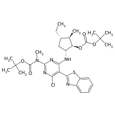 CC[C@H]1C[C@@H](Nc2nc(N(C)C(=O)OC(C)(C)C)nc(Cl)c2-c2nc3ccccc3s2)[C@H](OC(=O)OC(C)(C)C)[C@@H]1C